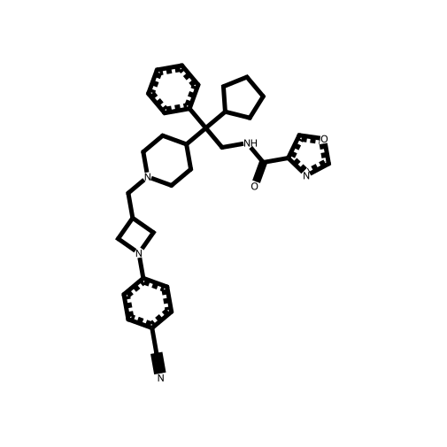 N#Cc1ccc(N2CC(CN3CCC(C(CNC(=O)c4cocn4)(c4ccccc4)C4CCCC4)CC3)C2)cc1